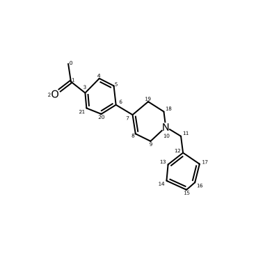 CC(=O)c1ccc(C2=CCN(Cc3ccccc3)CC2)cc1